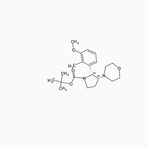 COc1cccc([C@@H]2[C@H](N3CCOCC3)CCN2C(=O)OC(C)(C)C)c1C